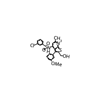 COc1cccc(-c2c(CO)sc3nc(C)cc(NS(=O)(=O)c4cccc(Cl)c4)c23)c1